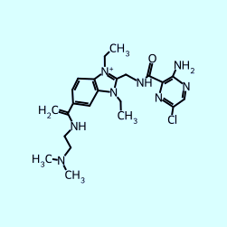 C=C(NCCN(C)C)c1ccc2c(c1)n(CC)c(CNC(=O)c1nc(Cl)cnc1N)[n+]2CC